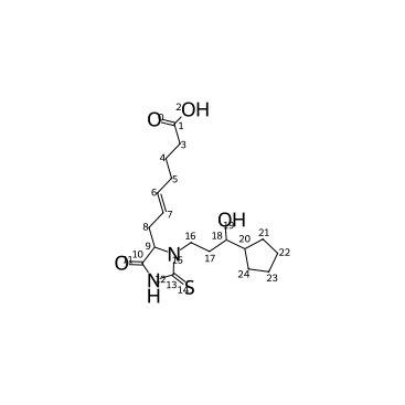 O=C(O)CCCC=CCC1C(=O)NC(=S)N1CCC(O)C1CCCC1